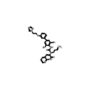 C=CCCN(C(=O)Nc1c(C(C)C)cc(-c2cccc(OCCn3cncn3)c2)cc1C(C)C)c1cc2cccnc2[nH]c1=O